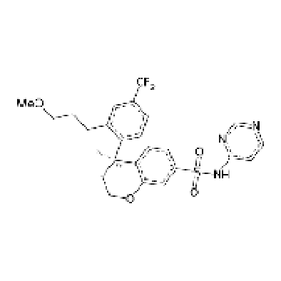 COCCCc1cc(C(F)(F)F)ccc1[C@]1(C)CCOc2cc(S(=O)(=O)Nc3ccncn3)ccc21